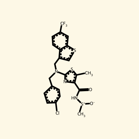 Cc1sc(N(Cc2ccc(Cl)cc2)Cc2csc3cc(C(F)(F)F)ccc23)nc1C(=O)N[S+](C)[O-]